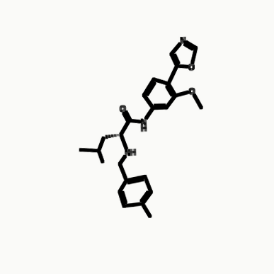 COc1cc(NC(=O)[C@@H](CC(C)C)NCc2ccc(C)cc2)ccc1-c1cnco1